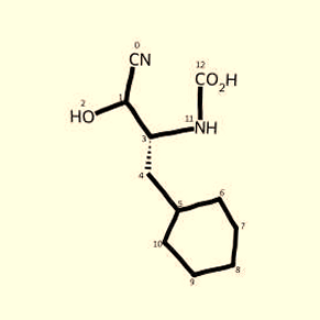 N#CC(O)[C@@H](CC1CCCCC1)NC(=O)O